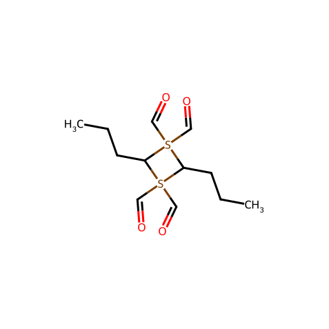 CCCC1S(C=O)(C=O)C(CCC)S1(C=O)C=O